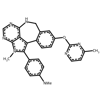 CNc1ccc(-c2c3c4c(ncnc4n2C)NCc2cc(Oc4nccc(C)n4)ccc2-3)cc1